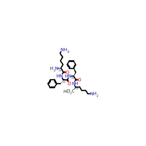 NCCCC[C@H](NC(=O)[C@H](Cc1ccccc1)NC(=O)[C@H](Cc1ccccc1)NC(=O)[C@@H](N)CCCCN)C(=O)O